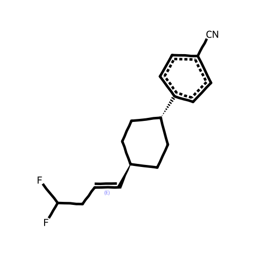 N#Cc1ccc([C@H]2CC[C@H](/C=C/CC(F)F)CC2)cc1